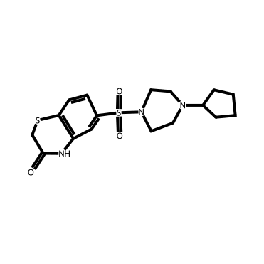 O=C1CSc2ccc(S(=O)(=O)N3CCN(C4CCCC4)CC3)cc2N1